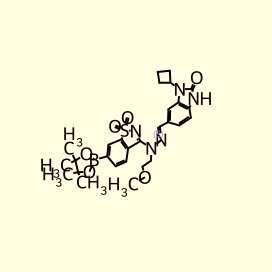 COCCN(/N=C/c1ccc2[nH]c(=O)n(C3CCC3)c2c1)C1=NS(=O)(=O)c2cc(B3OC(C)(C)C(C)(C)O3)ccc21